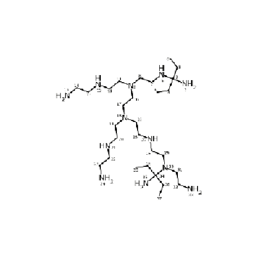 CCC(N)(CC)NCCN(CCNCCN)CCN(CCNCCN)CCNCCN(CCN)C(N)(CC)CC